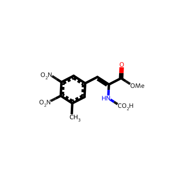 COC(=O)/C(=C/c1cc(C)c([N+](=O)[O-])c([N+](=O)[O-])c1)NC(=O)O